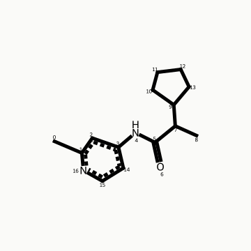 Cc1cc(NC(=O)C(C)C2CCCC2)ccn1